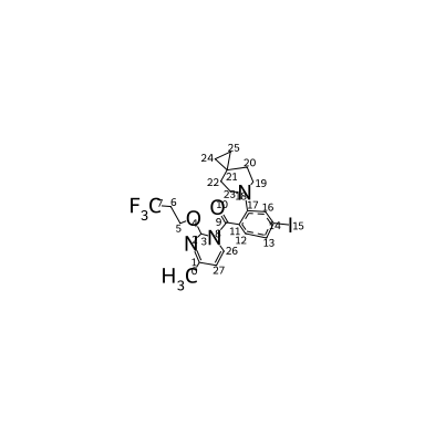 CC1=NC(OCCC(F)(F)F)N(C(=O)c2ccc(I)cc2N2CCC3(CC2)CC3)C=C1